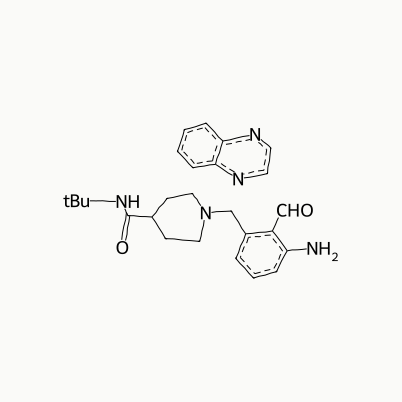 CC(C)(C)NC(=O)C1CCN(Cc2cccc(N)c2C=O)CC1.c1ccc2nccnc2c1